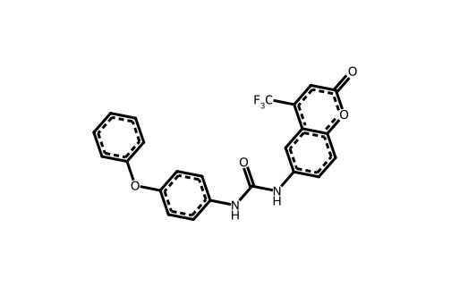 O=C(Nc1ccc(Oc2ccccc2)cc1)Nc1ccc2oc(=O)cc(C(F)(F)F)c2c1